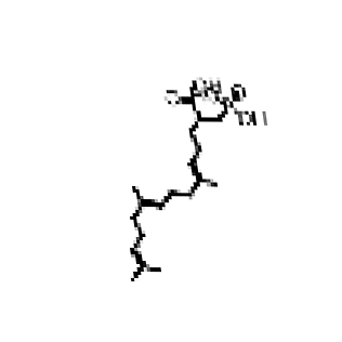 CC(C)=CCCC(C)=CCCC(C)=CCCC(CP(=O)(O)O)C(=O)O